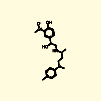 Cc1ccc(N(C)CCC(C)NCC(O)c2ccc(O)c([S+](C)[O-])c2)cc1